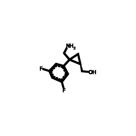 NCC1(c2cc(F)cc(F)c2)C[C@H]1CO